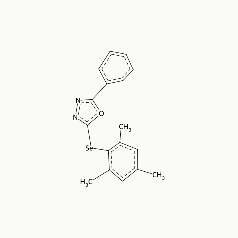 Cc1cc(C)c([Se]c2nnc(-c3ccccc3)o2)c(C)c1